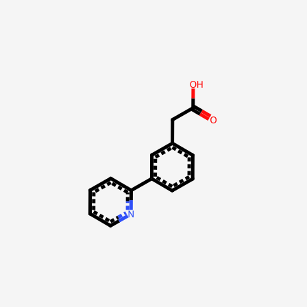 O=C(O)Cc1cccc(-c2ccccn2)c1